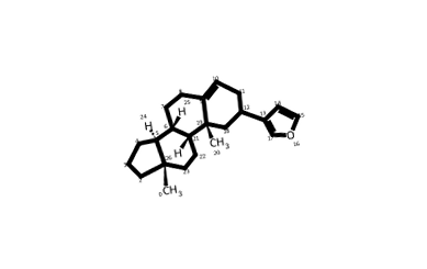 C[C@@]12CCC[C@H]1[C@@H]1CCC3=CCC(c4ccoc4)C[C@]3(C)[C@@H]1CC2